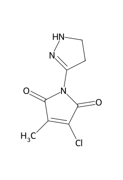 CC1=C(Cl)C(=O)N(C2=NNCC2)C1=O